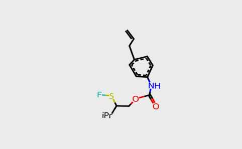 C=CCc1ccc(NC(=O)OCC(SF)C(C)C)cc1